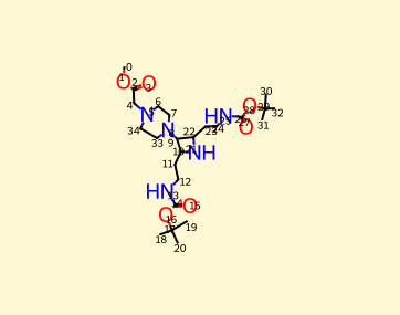 COC(=O)CN1CCN(C2C(CCNC(=O)OC(C)(C)C)NC2CCNC(=O)OC(C)(C)C)CC1